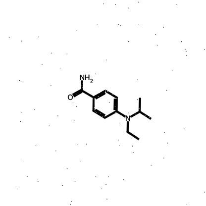 CCN(c1ccc(C(N)=O)cc1)C(C)C